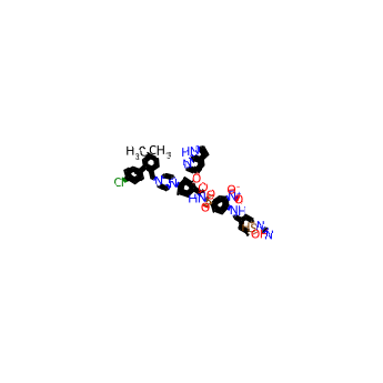 CC1(C)CCC(CN2CCN(c3ccc(C(=O)NS(=O)(=O)c4ccc(NCC5CC[SH](O)(=NC#N)CC5)c([N+](=O)[O-])c4)c(Oc4cnc5[nH]ccc5c4)c3)CC2)=C(c2ccc(Cl)cc2)C1